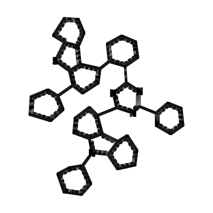 c1ccc(-c2nc(-c3ccccc3-c3ccc(-c4ccccc4)c4sc5ccccc5c34)nc(-c3cccc4c3c3ccccc3n4-c3ccccc3)n2)cc1